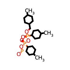 CC1CCC(COP(=O)(OP(=O)(OP=O)C2CCC(C)CC2)C2CCC(C)CC2)CC1